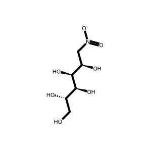 O=[N+]([O-])C[C@@H](O)[C@H](O)[C@@H](O)[C@@H](O)CO